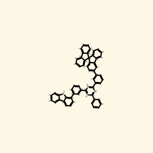 c1ccc(-c2nc(-c3cccc(-c4ccc5c(c4)-c4ccccc4C54c5ccccc5-c5ccccc54)c3)nc(-c3cccc(-c4cccc5c4sc4ccccc45)c3)n2)cc1